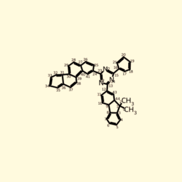 CC1(C)c2ccccc2C2C=CC(c3nc(-c4ccccc4)nc(-c4ccc5ccc6c7ccccc7ccc6c5c4)n3)=CC21